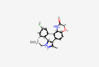 CCOC(=O)Cn1nc(C)c(-c2ccc3c(c2)NC(=O)CO3)c1-c1ccc(F)cc1